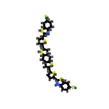 Fc1ccc2nc(-c3ccc(-c4cc5cc6sc(-c7ccc(-c8nc9ccc(F)cc9s8)s7)cc6cc5s4)s3)sc2c1